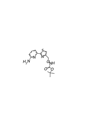 CC(C)(C)OC(=O)NOCc1csc(-c2cccc(N)n2)n1